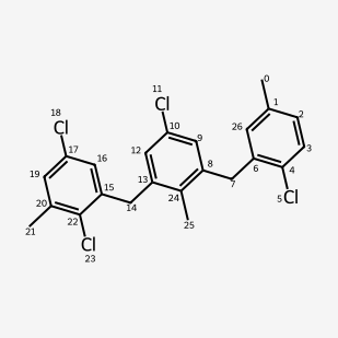 Cc1ccc(Cl)c(Cc2cc(Cl)cc(Cc3cc(Cl)cc(C)c3Cl)c2C)c1